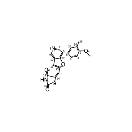 COc1ccc(-c2cncc3cc(/C=C4/SC(=O)NC4=O)oc23)cc1C